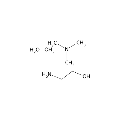 CN(C)C.NCCO.O.O